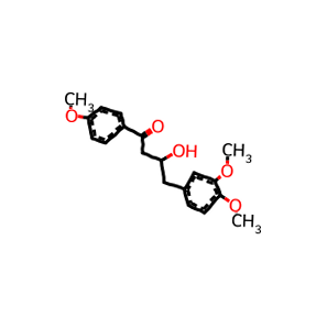 COc1ccc(C(=O)CC(O)Cc2ccc(OC)c(OC)c2)cc1